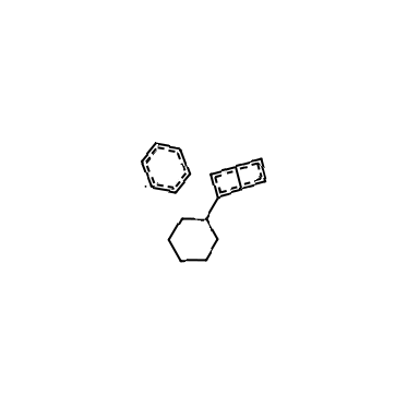 [c]1ccccc1.c1cc2c(C3CCCCC3)cc1-2